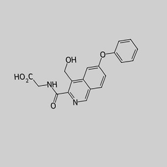 O=C(O)CNC(=O)c1ncc2ccc(Oc3ccccc3)cc2c1CO